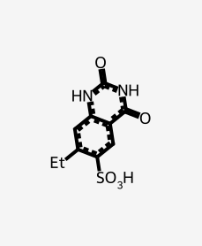 CCc1cc2[nH]c(=O)[nH]c(=O)c2cc1S(=O)(=O)O